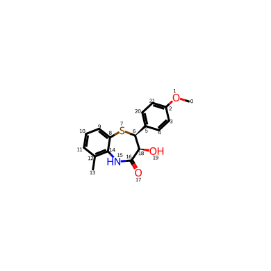 COc1ccc([C@@H]2Sc3cccc(C)c3NC(=O)[C@@H]2O)cc1